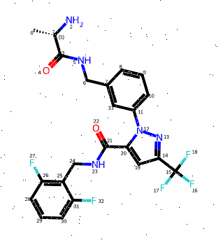 C[C@H](N)C(=O)NCc1cccc(-n2nc(C(F)(F)F)cc2C(=O)NCc2c(F)cccc2F)c1